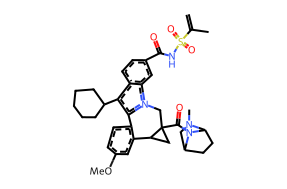 C=C(C)S(=O)(=O)NC(=O)c1ccc2c(C3CCCCC3)c3n(c2c1)CC1(C(=O)N2C4CCC2N(C)C4)CC1c1cc(OC)ccc1-3